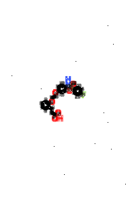 O=C(O)CCc1ccccc1OCCOc1ccc(NS(=O)(=O)c2ccc(F)cc2)cc1